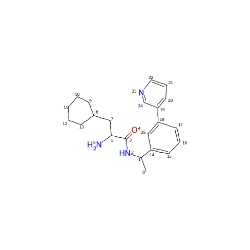 CC(NC(=O)C(N)CC1CCCCC1)c1cccc(-c2cccnc2)c1